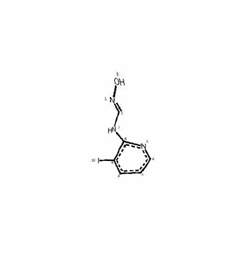 ON=CNc1ncccc1I